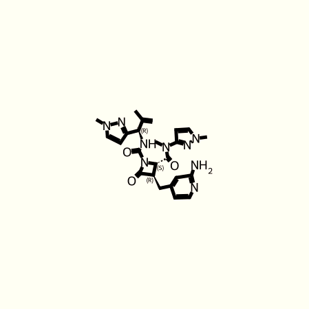 C=C(C)[C@@H](NC(=O)N1C(=O)[C@H](Cc2ccnc(N)c2)[C@H]1C(=O)N(C)c1ccn(C)n1)c1ccn(C)n1